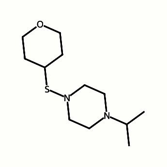 CC(C)N1CCN(SC2CCOCC2)CC1